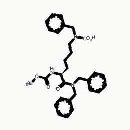 CC(C)(C)OC(=O)N[C@@H](CCCCN(Cc1ccccc1)C(=O)O)C(=O)N(Cc1ccccc1)Cc1ccccc1